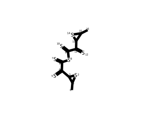 CC1SC1C(=S)C(=S)SC(=S)C(=S)C1SC1C